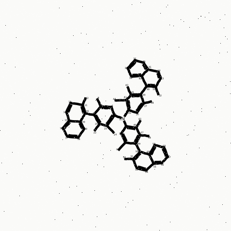 Cc1cc(N(c2cc(C)c(-c3c(C)ccc4ccccc34)c(C)c2C)c2cc(C)c(-c3c(C)ccc4ccccc34)c(C)c2C)c(C)c(C)c1-c1c(C)ccc2ccccc12